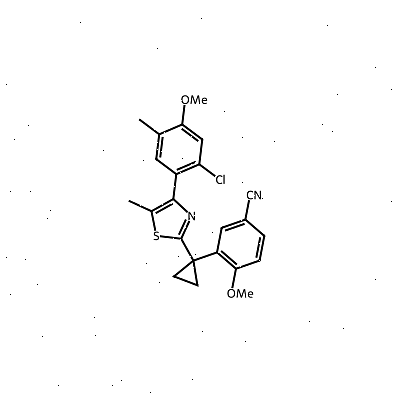 COc1cc(Cl)c(-c2nc(C3(c4cc(C#N)ccc4OC)CC3)sc2C)cc1C